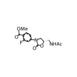 COC(=O)c1ccc(N2C[C@H](CNC(C)=O)OC2=O)cc1F